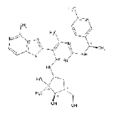 Cc1ccc([C@@H](C)Nc2nc(C)c(-c3nc4c(C)nccc4s3)c(NC3C[C@H](CO)[C@@H](O)[C@@]3(C)O)n2)cc1